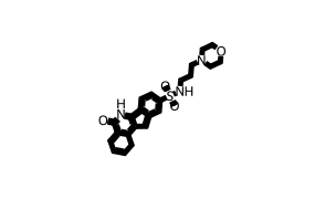 O=c1[nH]c2c(c3c1=CC=CC3)C=c1cc(S(=O)(=O)NCCCN3CCOCC3)ccc1=2